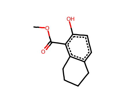 COC(=O)c1c(O)ccc2c1CCCC2